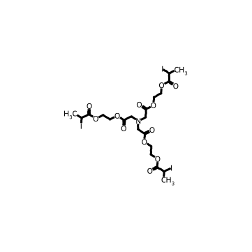 CC(I)C(=O)OCCOC(=O)CN(CC(=O)OCCOC(=O)C(C)I)CC(=O)OCCOC(=O)C(C)I